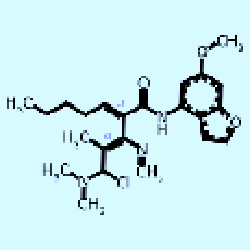 C=NC(=C(/C)C(Cl)N(C)C)/C(=C\CCCC)C(=O)Nc1cc(OC)cc2occc12